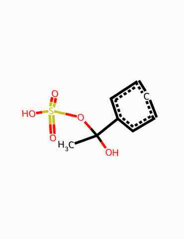 CC(O)(OS(=O)(=O)O)c1ccccc1